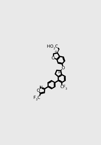 O=C(O)C[C@@H]1COc2cc(O[C@@H]3CCc4c3ccc(C(F)(F)F)c4-c3ccc(-c4cc(C(F)(F)F)on4)cc3)ccc21